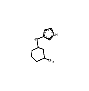 CC1CCCC(Nc2cc[nH]c2)C1